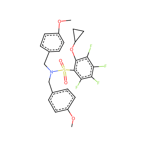 COc1ccc(CN(Cc2ccc(OC)cc2)S(=O)(=O)c2c(F)c(F)c(F)c(F)c2OC2CC2)cc1